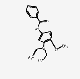 CCN(CC)c1cc(NC(=O)c2ccccc2)ccc1OC